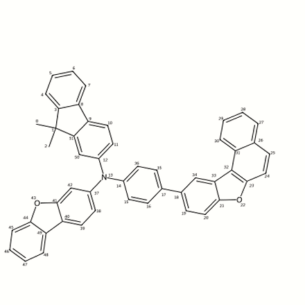 CC1(C)c2ccccc2-c2ccc(N(c3ccc(-c4ccc5oc6ccc7ccccc7c6c5c4)cc3)c3ccc4c(c3)oc3ccccc34)cc21